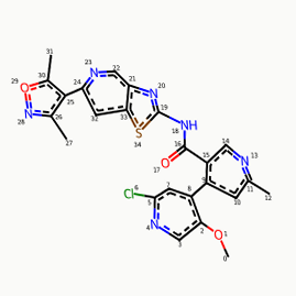 COc1cnc(Cl)cc1-c1cc(C)ncc1C(=O)Nc1nc2cnc(-c3c(C)noc3C)cc2s1